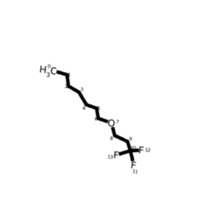 CCCCCCCOCCC(F)(F)F